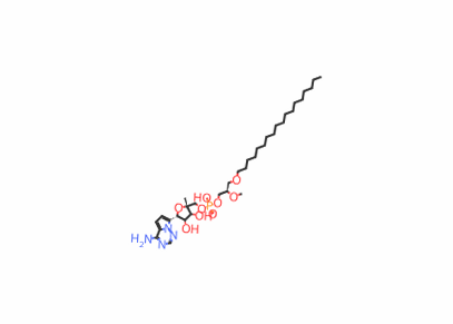 CCCCCCCCCCCCCCCCCCOC[C@H](COP(=O)(O)OC[C@@]1(C)O[C@@H](c2ccc3c(N)ncnn23)[C@H](O)[C@@H]1O)OC